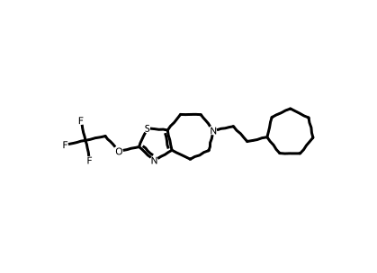 FC(F)(F)COc1nc2c(s1)CCN(CCC1CCCCCC1)CC2